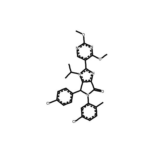 COc1ncc(-c2nc3c(n2C(C)C)C(c2ccc(Cl)cc2)N(c2cc(Cl)ccc2C)C3=O)c(OC)n1